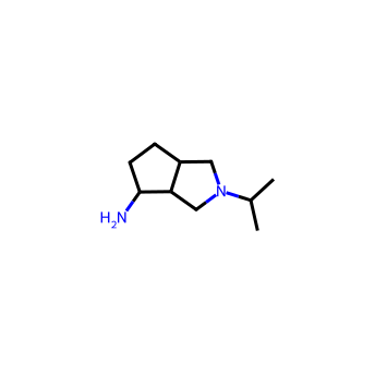 CC(C)N1CC2CCC(N)C2C1